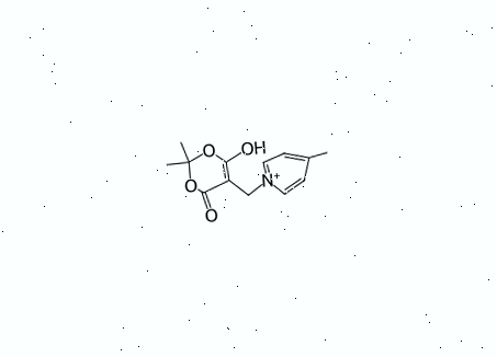 Cc1cc[n+](CC2=C(O)OC(C)(C)OC2=O)cc1